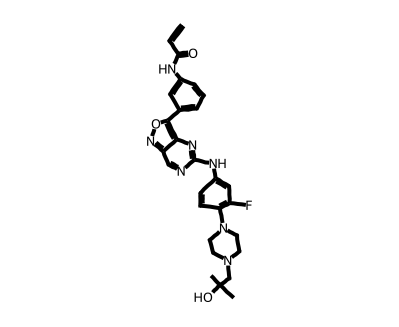 C=CC(=O)Nc1cccc(-c2onc3cnc(Nc4ccc(N5CCN(CC(C)(C)O)CC5)c(F)c4)nc23)c1